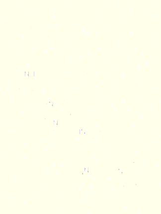 O=C(NCc1cn2cc(CNCC3CCCCC3)ccc2n1)c1cncc(-n2cccc2)c1